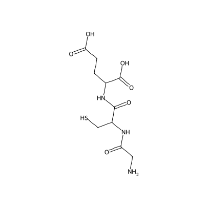 NCC(=O)NC(CS)C(=O)NC(CCC(=O)O)C(=O)O